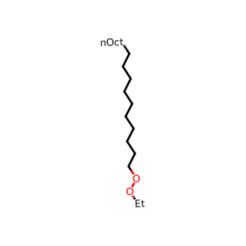 CCCCCCCCCCCCCCCCCCOOCC